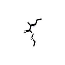 CC/C=C(\C)C(=O)OOCC